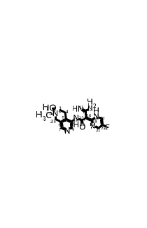 C[N@+]1(O)CCc2c(cncc2NC(=O)/C(C(=N)N)=C2\N=CC(F)=CN2)C1